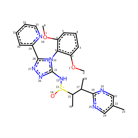 COc1cccc(OC)c1-n1c(N[S+]([O-])C(C)C(C)c2ncc(C)cn2)nnc1-c1ccccn1